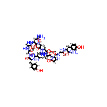 CC(=O)N[C@@H](CC(C)C)C(=O)N[C@@H](Cc1ccc(O)cc1)C(=O)NCC(=O)N[C@@H](C)C(=O)N[C@@H](CC(N)=O)C(=O)N[C@@H](C)C(=O)NCC(=O)N[C@@H](CO)C(=O)N1CCC[C@H]1C(=O)NCC(=O)N[C@@H](Cc1ccc(O)cc1)C(N)=O